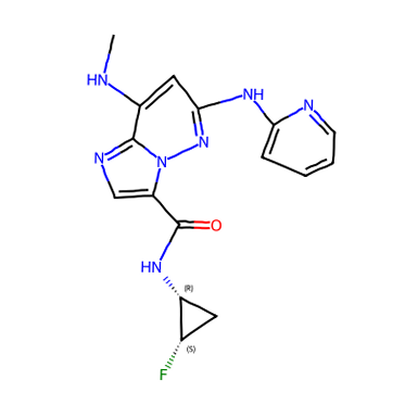 CNc1cc(Nc2ccccn2)nn2c(C(=O)N[C@@H]3C[C@@H]3F)cnc12